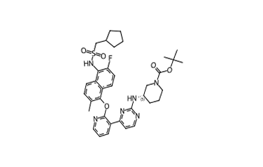 Cc1ccc2c(NS(=O)(=O)CC3CCCC3)c(F)ccc2c1Oc1ncccc1-c1ccnc(N[C@H]2CCCN(C(=O)OC(C)(C)C)C2)n1